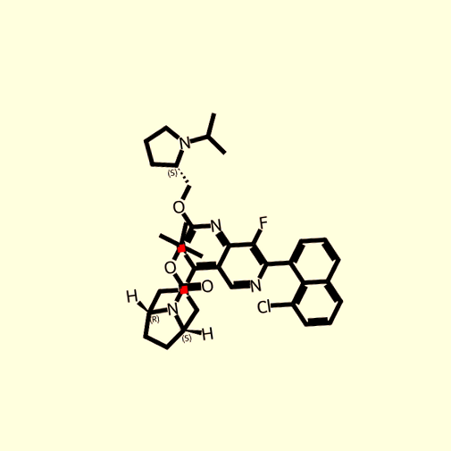 CC(C)N1CCC[C@H]1COc1nc(N2C[C@H]3CC[C@@H](C2)N3C(=O)OC(C)(C)C)c2cnc(-c3cccc4cccc(Cl)c34)c(F)c2n1